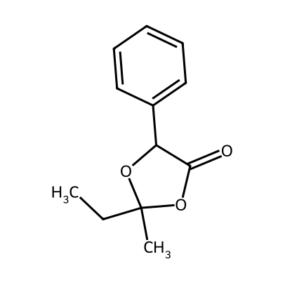 CCC1(C)OC(=O)C(c2ccccc2)O1